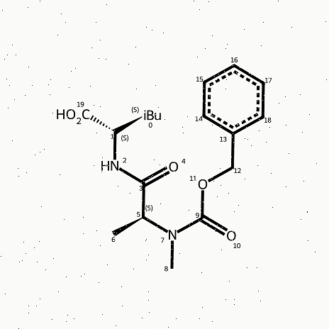 CC[C@H](C)[C@H](NC(=O)[C@H](C)N(C)C(=O)OCc1ccccc1)C(=O)O